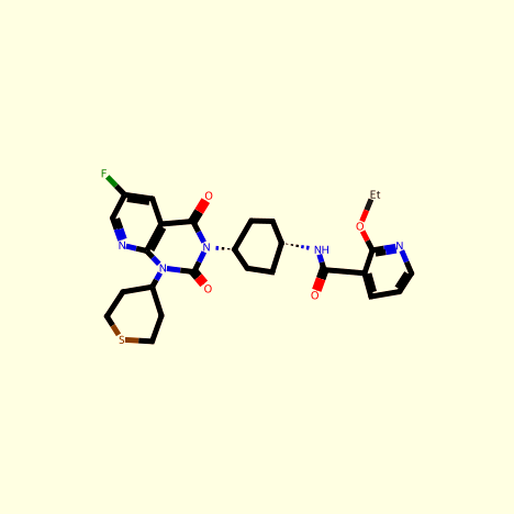 CCOc1ncccc1C(=O)N[C@H]1CC[C@@H](n2c(=O)c3cc(F)cnc3n(C3CCSCC3)c2=O)CC1